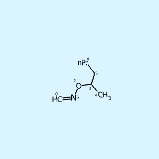 [CH]=NOC(C)CCCC